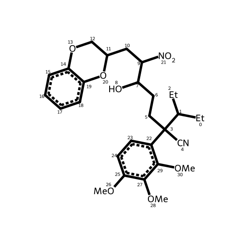 CCC(CC)C(C#N)(CCC(O)C(CC1COc2ccccc2O1)[N+](=O)[O-])c1ccc(OC)c(OC)c1OC